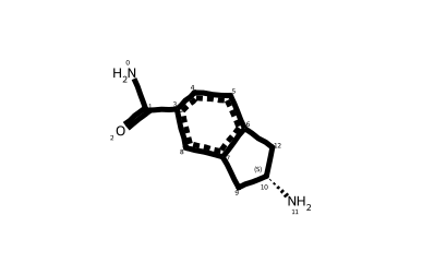 NC(=O)c1ccc2c(c1)C[C@@H](N)C2